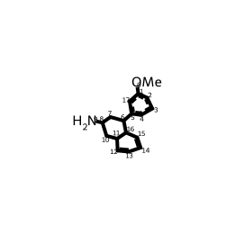 COc1cccc(C2CC(N)CC3C=CC=CC32)c1